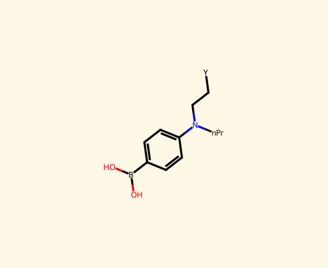 CCCN(C[CH2][Y])c1ccc(B(O)O)cc1